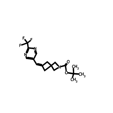 CC(C)(C)OC(=O)N1CC2(CC(=Cc3cnc(C(F)(F)F)nc3)C2)C1